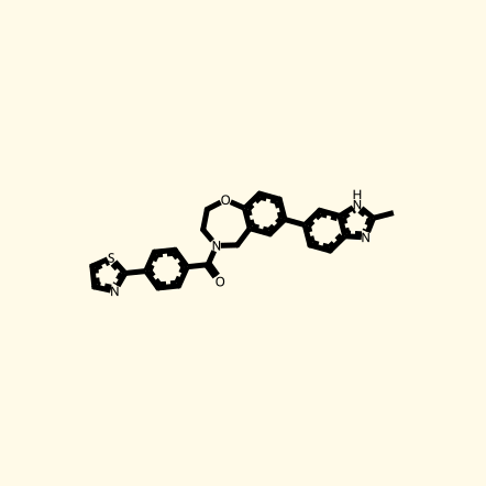 Cc1nc2ccc(-c3ccc4c(c3)CN(C(=O)c3ccc(-c5nccs5)cc3)CCO4)cc2[nH]1